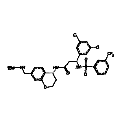 CC(C)(C)NCc1ccc2c(c1)OCC[C@H]2NC(=O)CC(NS(=O)(=O)c1cccc(C(F)(F)F)c1)c1cc(Cl)cc(Cl)c1